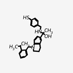 CC(C)c1ccccc1CN1CCCc2cc(C(C)(O)NCc3ccc(S)cc3)ccc21